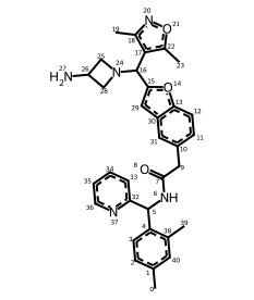 Cc1ccc(C(NC(=O)Cc2ccc3oc(C(c4c(C)noc4C)N4CC(N)C4)cc3c2)c2ccccn2)c(C)c1